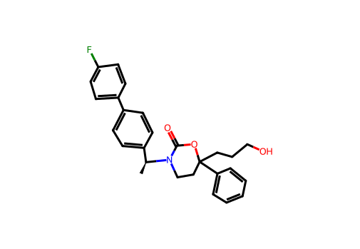 C[C@@H](c1ccc(-c2ccc(F)cc2)cc1)N1CCC(CCCO)(c2ccccc2)OC1=O